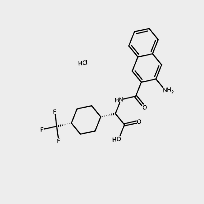 Cl.Nc1cc2ccccc2cc1C(=O)NC(C(=O)O)[C@H]1CC[C@@H](C(F)(F)F)CC1